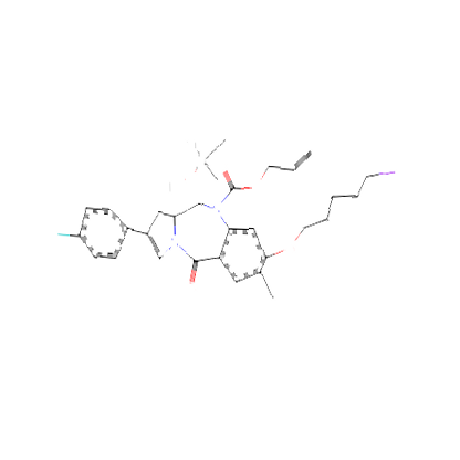 C=CCOC(=O)N1c2cc(OCCCCCI)c(C)cc2C(=O)N2C=C(c3ccc(F)cc3)C[C@H]2[C@@H]1O[Si](C)(C)C(C)(C)C